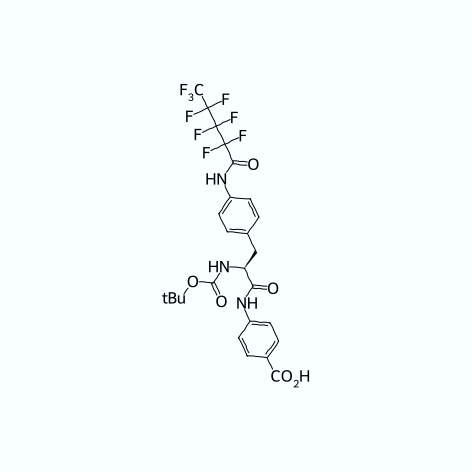 CC(C)(C)OC(=O)N[C@@H](Cc1ccc(NC(=O)C(F)(F)C(F)(F)C(F)(F)C(F)(F)F)cc1)C(=O)Nc1ccc(C(=O)O)cc1